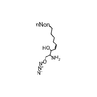 CCCCCCCCCCCCC/C=C\C(O)C(N)CON=[N+]=[N-]